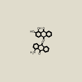 Nc1cccc2c1C(=O)c1ccccc1C2=O.O=C1c2ccccc2C(=O)c2c1ccc(O)c2O